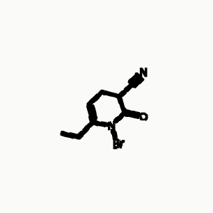 CCC1=CCC(C#N)C(=O)N1Br